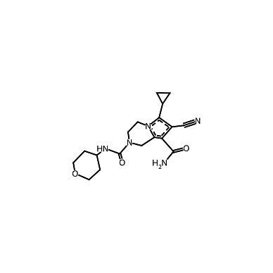 N#Cc1c(C(N)=O)c2n(c1C1CC1)CCN(C(=O)NC1CCOCC1)C2